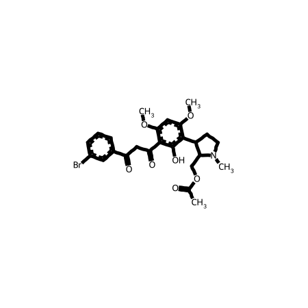 COc1cc(OC)c(C2CCN(C)C2COC(C)=O)c(O)c1C(=O)CC(=O)c1cccc(Br)c1